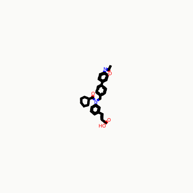 Cc1nc2ccc(-c3ccc(CN(C(=O)C4CCCCC4)c4cccc(C=CC(=O)O)c4)cc3)cc2o1